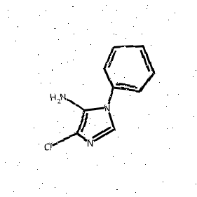 Nc1c(Cl)ncn1-c1ccccc1